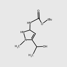 CC(O)C1=CC(NC(=O)OC(C)(C)C)NN1C